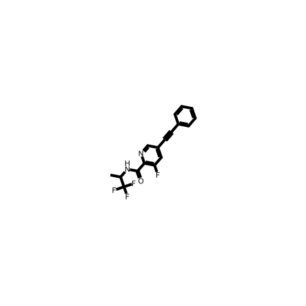 CC(NC(=O)c1ncc(C#Cc2ccccc2)cc1F)C(F)(F)F